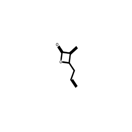 C=CCC1OC(=O)C1=C